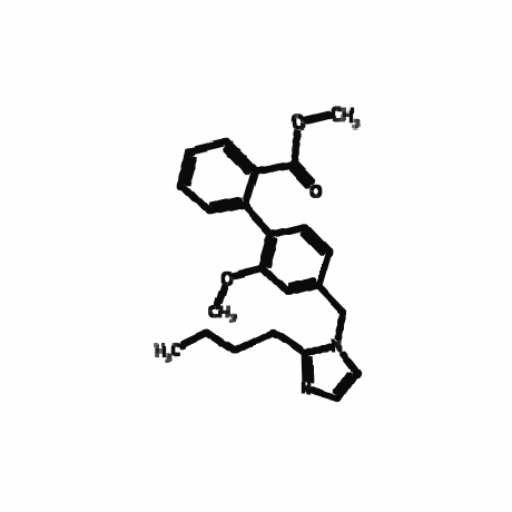 CCCCc1nccn1Cc1ccc(-c2ccccc2C(=O)OC)c(OC)c1